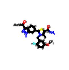 CNC(=O)c1n[nH]c2cc(C3SC(C(N)=O)=C(C)N3Cc3cc(OC(F)(F)F)ccc3F)ccc12